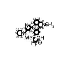 CSc1ccc(C2CN(C)Cc3cccc(Oc4cncc(CN5CCCCC5)c4)c32)cc1.O=C(O)C(F)(F)F